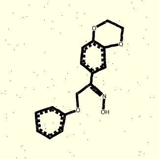 ON=C(COc1ccccc1)c1ccc2c(c1)OCCO2